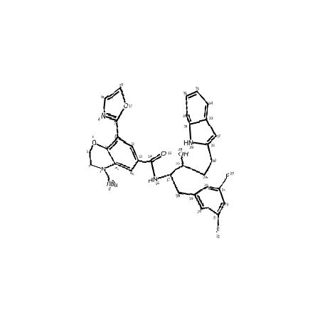 CCCCN1CCOc2c(-c3ncco3)cc(C(=O)NC(Cc3cc(F)cc(F)c3)C(O)CCc3cc4ccccc4[nH]3)cc21